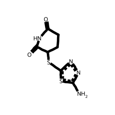 Nc1nnc(SC2CCC(=O)NC2=O)s1